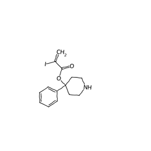 C=C(I)C(=O)OC1(c2ccccc2)CCNCC1